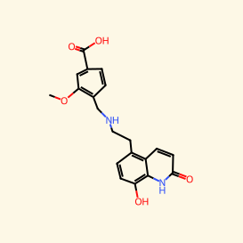 COc1cc(C(=O)O)ccc1CNCCc1ccc(O)c2[nH]c(=O)ccc12